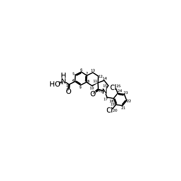 O=C(NO)c1ccc2c(c1)C[C@@]1(CC2)CCN(Cc2c(Cl)cccc2Cl)C1=O